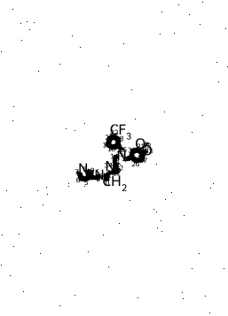 C=C(NCc1cccnc1)c1csc(CN(Cc2cccc(C(F)(F)F)c2)Cc2ccc3c(c2)OCO3)n1